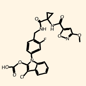 COc1cc(C(=O)NC2(C(=O)NCc3ccc(-n4c(OC(=O)O)c(Cl)c5ccccc54)cc3F)CC2)on1